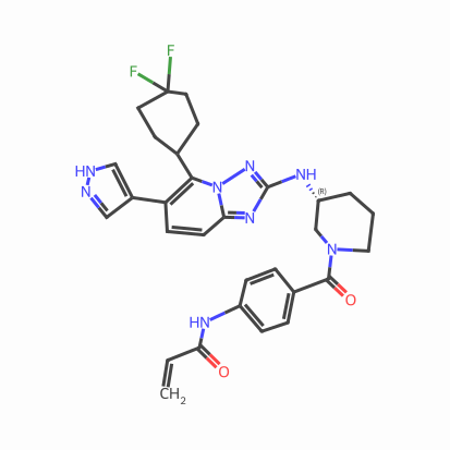 C=CC(=O)Nc1ccc(C(=O)N2CCC[C@@H](Nc3nc4ccc(-c5cn[nH]c5)c(C5CCC(F)(F)CC5)n4n3)C2)cc1